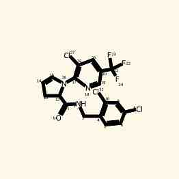 O=C(NCc1ccc(Cl)cc1Cl)C1CC=CN1c1ncc(C(F)(F)F)cc1Cl